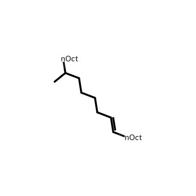 [CH2]CCCCCCC/C=C/CCCCC(C)CCCCCCC[CH2]